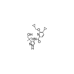 CC(C)(CO)c1n[nH]cc1NC(=O)c1ccc(C2CC2)c(OCC2CC2)n1